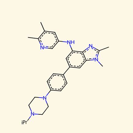 Cc1cc(Nc2cc(-c3ccc(N4CCN(C(C)C)CC4)cc3)cc3c2nc(C)n3C)cnc1C